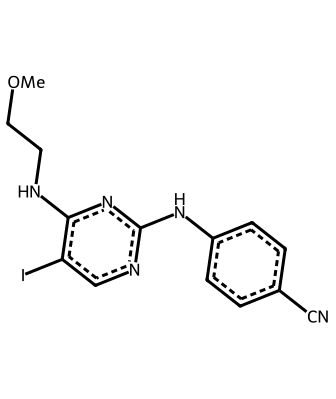 COCCNc1nc(Nc2ccc(C#N)cc2)ncc1I